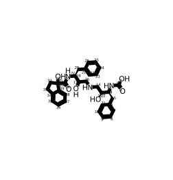 O=C(O)N[C@@H](Cc1ccccc1)[C@H](O)CNCC(O)[C@H](Cc1ccccc1)NC(=O)C1(O)CCc2ccccc21